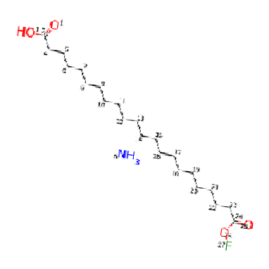 N.O=C(O)CCCCCCCCCCCCCCCCCCCCC(=O)OF